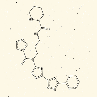 O=C(NCCCN(C(=O)c1cccs1)c1nc(-c2cc(-c3ccccc3)no2)cs1)C1CCCCN1